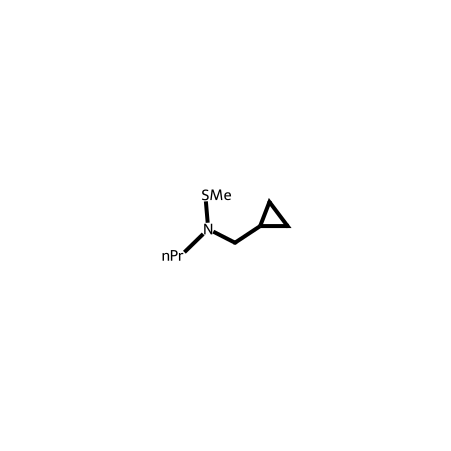 CCCN(CC1CC1)SC